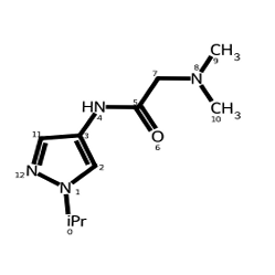 CC(C)n1cc(NC(=O)CN(C)C)cn1